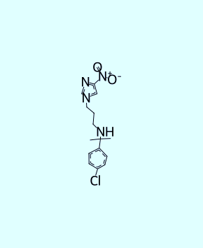 CC(C)(NCCCn1cnc([N+](=O)[O-])c1)c1ccc(Cl)cc1